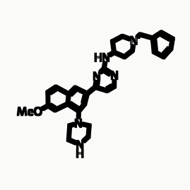 COc1ccc2cc(-c3ccnc(NC4CCN(Cc5ccccc5)CC4)n3)cc(N3CCNCC3)c2c1